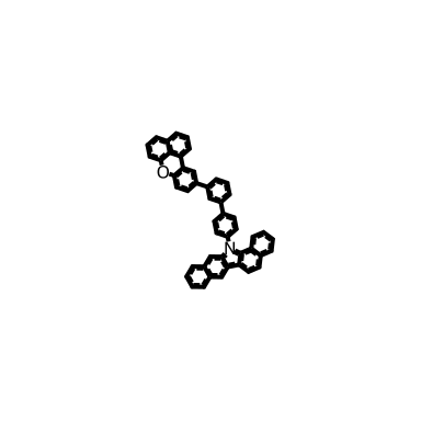 c1cc(-c2ccc(-n3c4cc5ccccc5cc4c4ccc5ccccc5c43)cc2)cc(-c2ccc3c(c2)-c2cccc4cccc(c24)O3)c1